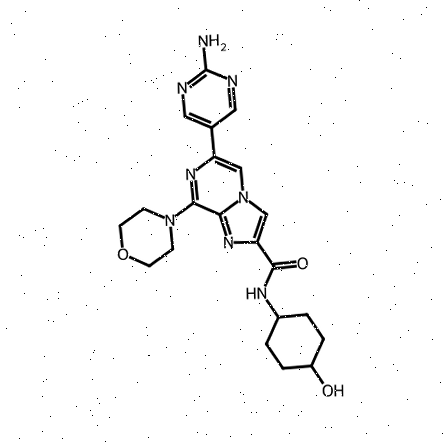 Nc1ncc(-c2cn3cc(C(=O)NC4CCC(O)CC4)nc3c(N3CCOCC3)n2)cn1